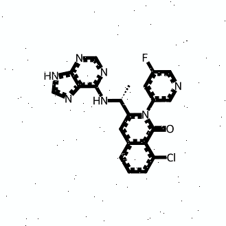 C[C@@H](Nc1ncnc2[nH]cnc12)c1cc2cccc(Cl)c2c(=O)n1-c1cncc(F)c1